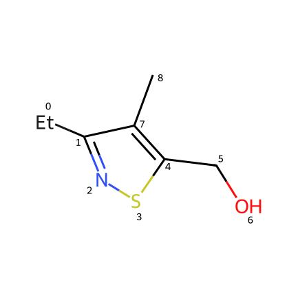 CCc1nsc(CO)c1C